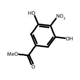 COC(=O)c1cc(O)c([N+](=O)[O-])c(O)c1